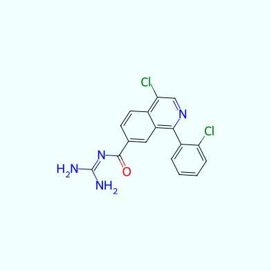 NC(N)=NC(=O)c1ccc2c(Cl)cnc(-c3ccccc3Cl)c2c1